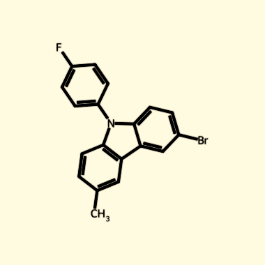 Cc1ccc2c(c1)c1cc(Br)ccc1n2-c1ccc(F)cc1